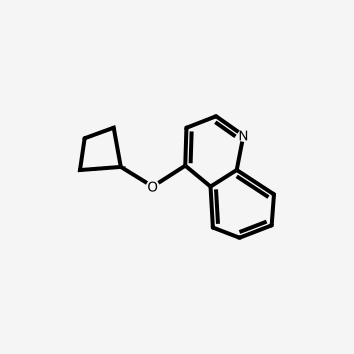 c1ccc2c(O[C]3CCC3)ccnc2c1